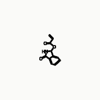 C=CC(=O)OC1NC(=O)c2ccccc21